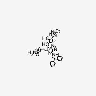 CCn1nnc([C@H]2O[C@@H](n3cnc4c(NCC(c5ccccc5)c5ccccc5)nc(CCC(C)CS(N)(=O)=O)nc43)[C@@H](O)[C@@H]2O)n1